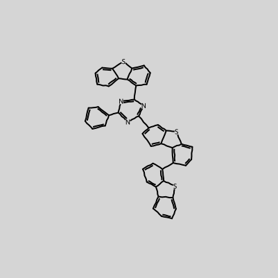 c1ccc(-c2nc(-c3ccc4c(c3)sc3cccc(-c5cccc6c5sc5ccccc56)c34)nc(-c3cccc4sc5ccccc5c34)n2)cc1